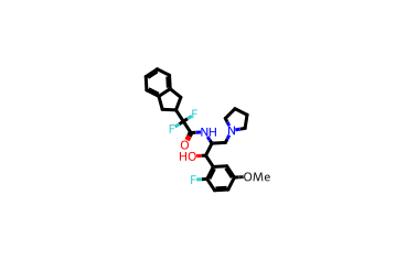 COc1ccc(F)c(C(O)C(CN2CCCC2)NC(=O)C(F)(F)C2Cc3ccccc3C2)c1